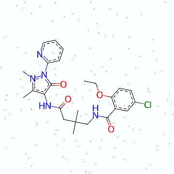 CCOc1ccc(Cl)cc1C(=O)NCC(C)(C)CC(=O)Nc1c(C)n(C)n(-c2ccccn2)c1=O